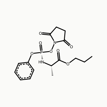 CCCOC(=O)[C@H](C)N[P@@](=O)(Oc1ccccc1)ON1C(=O)CCC1=O